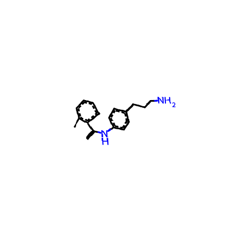 C=C(Nc1ccc(CCCN)cc1)c1ccccc1C